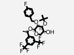 C[C@@H](O[C@@H]1OC[C@H](O)[C@H](OC(C)(C)C)[C@H]1OCc1ccc(F)cc1)c1cc(C(F)(F)F)cc(C(F)(F)F)c1